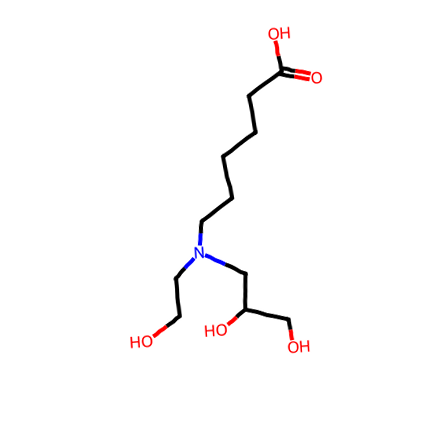 O=C(O)CCCCCN(CCO)CC(O)CO